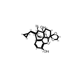 Oc1ccc2c3c1O[C@H]1C4(CC[C@@]5(O)[C@@H](C2)/[N+](=C/C2CC2)CC[C@]315)OCCO4